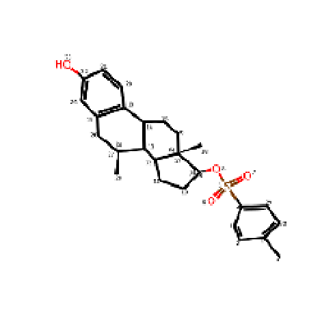 Cc1ccc(S(=O)(=O)O[C@H]2CCC3C4C(CC[C@@]32C)c2ccc(O)cc2C[C@@H]4C)cc1